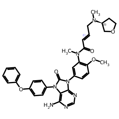 COc1ccc(-n2c(=O)n(-c3ccc(Oc4ccccc4)cc3)c3c(N)ncnc32)cc1N(C)C(=O)/C=C/CN(C)[C@H]1CCOC1